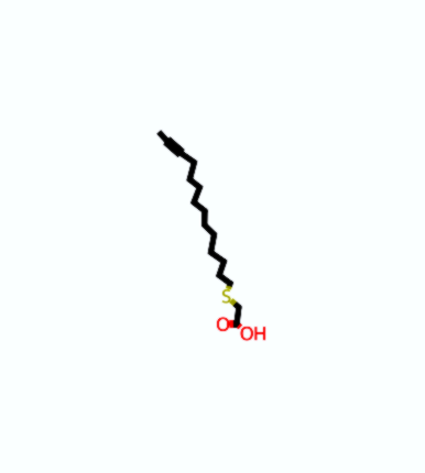 CC#CCCCCCCCCCCCSCC(=O)O